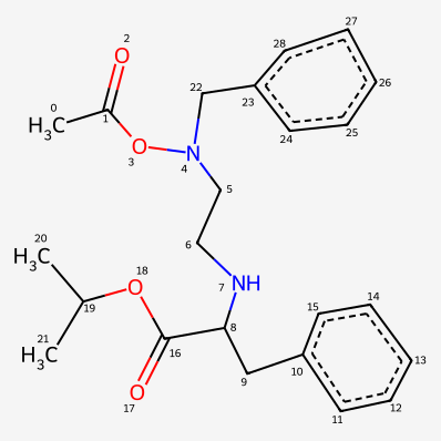 CC(=O)ON(CCNC(Cc1ccccc1)C(=O)OC(C)C)Cc1ccccc1